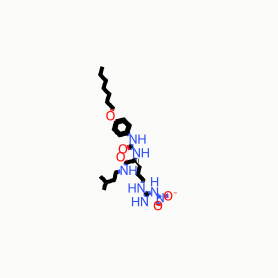 CCCCCCCOc1ccc(NC(=O)N[C@@H](CCCNC(=N)N[N+](=O)[O-])C(=O)NCCC(C)C)cc1